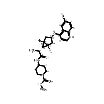 CC(C(=O)NC1CCN(C(=O)OC(C)(C)C)CC1)[C@@H]1[C@@H]2C[C@@H](Oc3ccnc4ccc(F)cc34)C[C@@H]21